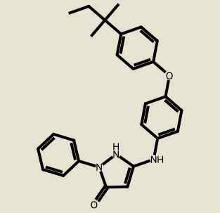 CCC(C)(C)c1ccc(Oc2ccc(Nc3cc(=O)n(-c4ccccc4)[nH]3)cc2)cc1